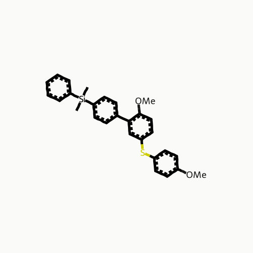 COc1ccc(Sc2ccc(OC)c(-c3ccc([Si](C)(C)c4ccccc4)cc3)c2)cc1